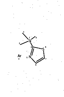 C[Si](C)(C)c1nccs1.[Ar]